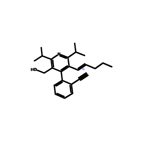 C#Cc1ccccc1-c1c(/C=C/CCC)c(C(C)C)nc(C(C)C)c1CO